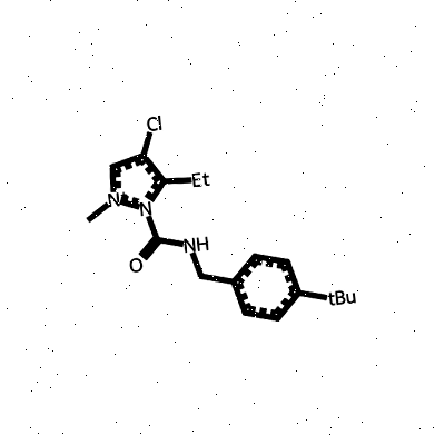 CCc1c(Cl)c[n+](C)n1C(=O)NCc1ccc(C(C)(C)C)cc1